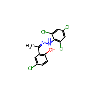 CC(=NNc1c(Cl)cc(Cl)cc1Cl)c1cc(Cl)ccc1O